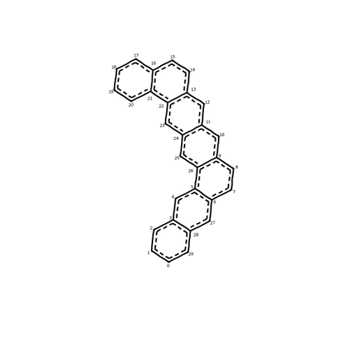 c1ccc2cc3c(ccc4cc5cc6ccc7ccccc7c6cc5cc43)cc2c1